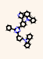 c1ccc(-c2nc(-c3cccc(-n4c5ccccc5c5ccccc54)c3)nc(-c3ccc(-n4c5ccccc5c5ccccc54)c(-c4cccnc4)c3)n2)cc1